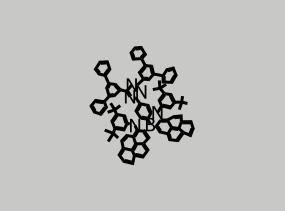 CC(C)(C)c1cc(N2c3cc(-c4nc(-c5cc(-c6ccccc6)cc(-c6ccccc6)c5)nc(-c5cc(-c6ccccc6)cc(-c6ccccc6)c5)n4)cc4c3B(c3cc5ccc6cccc7ccc(c32)c5c67)c2cc3ccc5cccc6ccc(c2N4c2cc(C(C)(C)C)cc(C(C)(C)C)c2)c3c56)cc(C(C)(C)C)c1